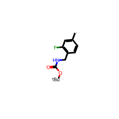 [CH2]c1ccc(CNC(=O)OC(C)(C)C)c(F)c1